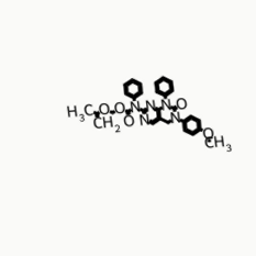 C=C(C)OCOC(=O)N(c1ccccc1)c1ncc2c(n1)N(c1ccccc1)C(=O)N(c1ccc(OC)cc1)C2